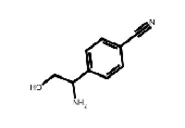 N#Cc1ccc(C(N)CO)cc1